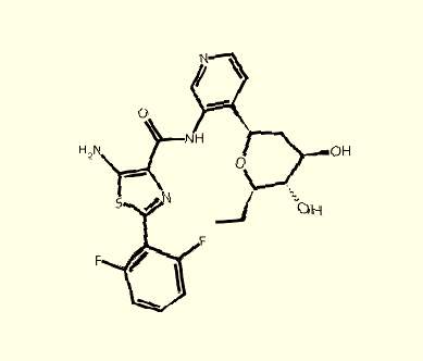 CC[C@H]1O[C@@H](c2ccncc2NC(=O)c2nc(-c3c(F)cccc3F)sc2N)C[C@@H](O)[C@@H]1O